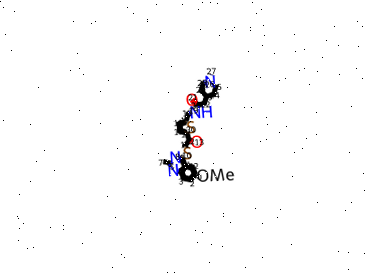 COc1ccc2nc(C)nc(SCC(=O)c3ccc(CNC(=O)CC4CCN(C)CC4)s3)c2c1